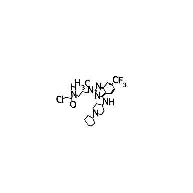 CN(CCCNC(=O)CCl)c1nc(NC2CCN(C3CCCCC3)CC2)c2ccc(C(F)(F)F)cc2n1